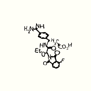 CC(=O)O.CCOC(C(=O)NCc1ccc(C(=N)N)cc1)N1C(=O)c2cccc(F)c2C1=O